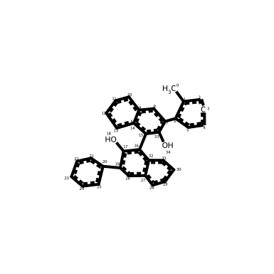 Cc1ccccc1-c1cc2ccccc2c(-c2c(O)c(-c3ccccc3)cc3ccccc23)c1O